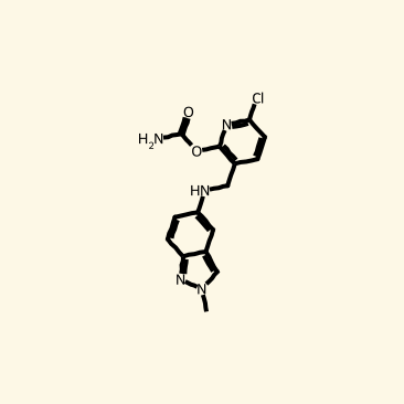 Cn1cc2cc(NCc3ccc(Cl)nc3OC(N)=O)ccc2n1